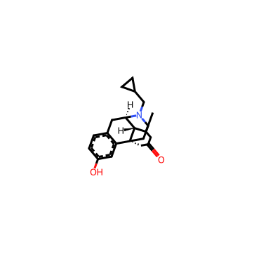 CC1CC(=O)C[C@]23CCN(CC4CC4)[C@H](Cc4ccc(O)cc42)[C@H]13